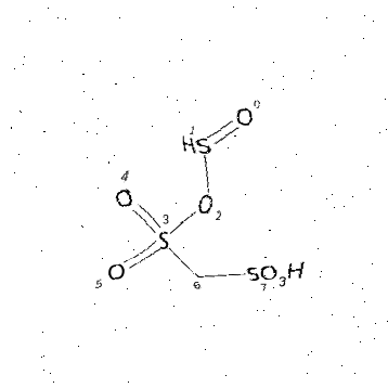 O=[SH]OS(=O)(=O)CS(=O)(=O)O